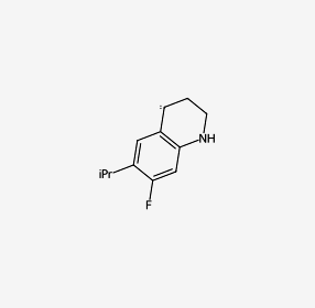 CC(C)c1cc2c(cc1F)NCC[C]2